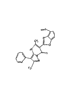 CSc1cccc2oc(-c3c(C)[nH]c4c(-c5ccccc5)c(C(F)(F)F)nn4c3=O)nc12